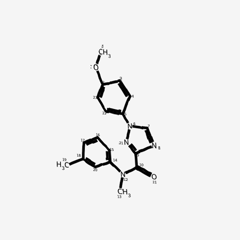 COc1ccc(-n2cnc(C(=O)N(C)c3cccc(C)c3)n2)cc1